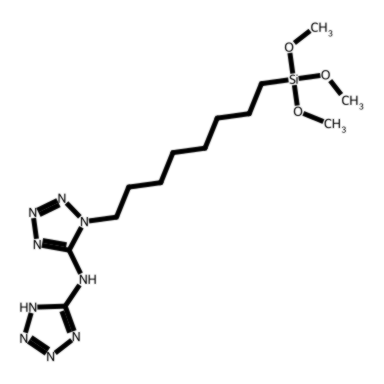 CO[Si](CCCCCCCCn1nnnc1Nc1nnn[nH]1)(OC)OC